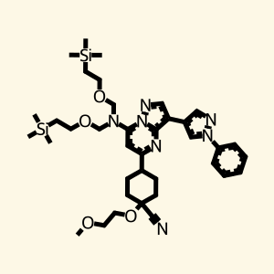 COCCOC1(C#N)CCC(c2cc(N(COCC[Si](C)(C)C)COCC[Si](C)(C)C)n3ncc(-c4cnn(-c5ccccc5)c4)c3n2)CC1